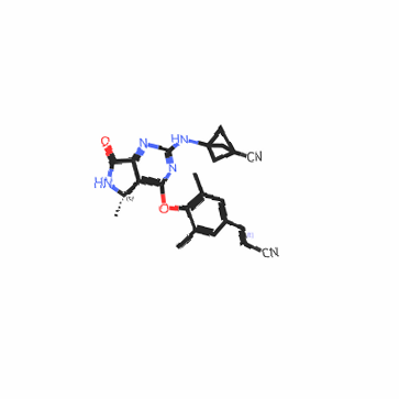 Cc1cc(/C=C/C#N)cc(C)c1Oc1nc(NC23CC(C#N)(C2)C3)nc2c1[C@H](C)NC2=O